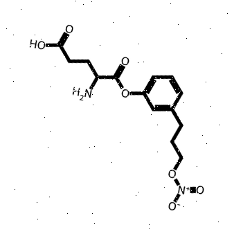 NC(CCC(=O)O)C(=O)Oc1cccc(CCCO[N+](=O)[O-])c1